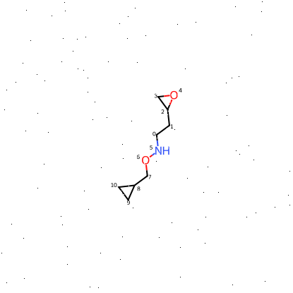 C(CC1CO1)NOCC1CC1